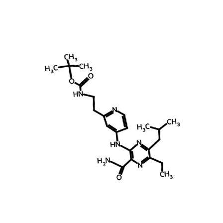 CCc1nc(C(N)=O)c(Nc2ccnc(CCNC(=O)OC(C)(C)C)c2)nc1CC(C)C